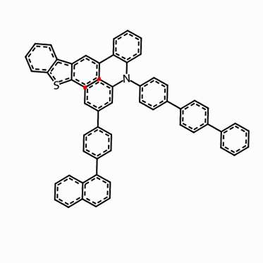 c1ccc(-c2ccc(-c3ccc(N(c4cccc(-c5ccc(-c6cccc7ccccc67)cc5)c4)c4ccccc4-c4ccc5sc6ccccc6c5c4)cc3)cc2)cc1